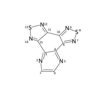 c1cnc2c(n1)c1nsnc1c1nsnc21